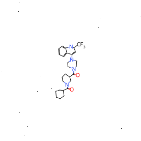 O=C(C1CCCN(C(=O)C2CCCCC2)C1)N1CCN(c2cc(C(F)(F)F)nc3ccccc23)CC1